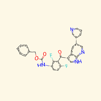 O=C(Nc1ccc(F)c(C(=O)c2c[nH]c3ncc(-c4cccnc4)cc23)c1F)OCc1ccccc1